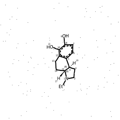 CCN1CC[C@@H]2c3ccc(O)c(O)c3CC[C@H]21